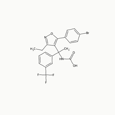 [CH2]C(NC(=O)O)(c1cccc(C(F)(F)F)c1)c1c(CC)noc1-c1ccc(Br)cc1